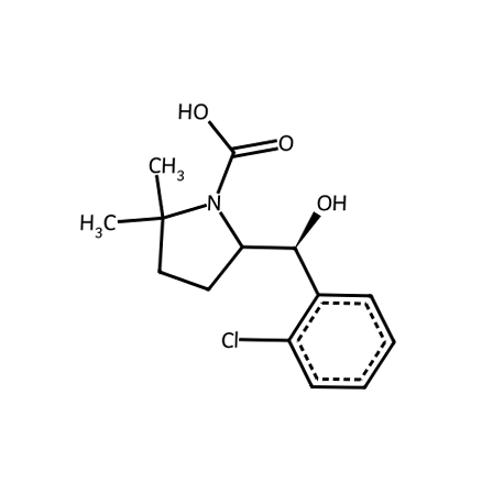 CC1(C)CCC([C@@H](O)c2ccccc2Cl)N1C(=O)O